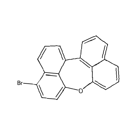 Brc1ccc2oc3cccc4cccc(c5cccc1c25)c43